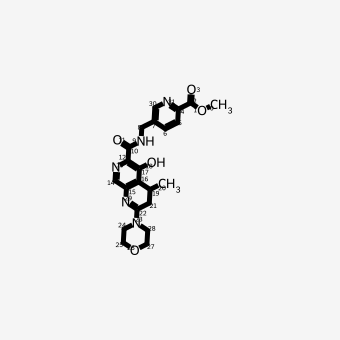 COC(=O)c1ccc(CNC(=O)c2ncc3c(c2O)C(C)CC(N2CCOCC2)=N3)cn1